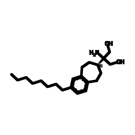 CCCCCCCCc1ccc2c(c1)CC[C@H](C(N)(CO)CO)CC2